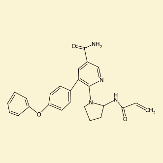 C=CC(=O)NC1CCCN1c1ncc(C(N)=O)cc1-c1ccc(Oc2ccccc2)cc1